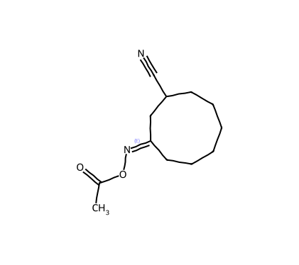 CC(=O)O/N=C1\CCCCCCC(C#N)C1